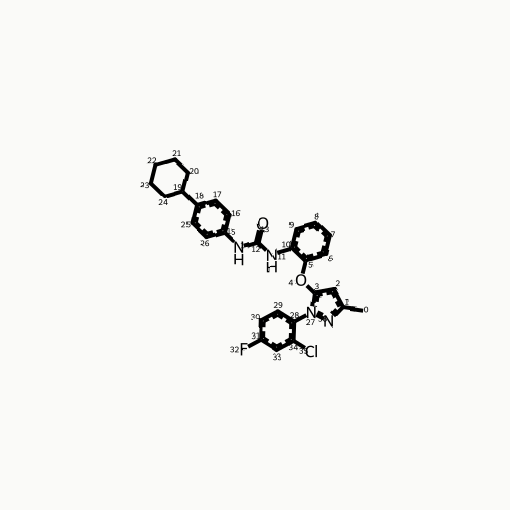 Cc1cc(Oc2ccccc2NC(=O)Nc2ccc(C3CCCCC3)cc2)n(-c2ccc(F)cc2Cl)n1